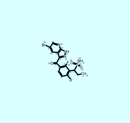 CCC(c1c(F)ccc(C(=O)c2n[nH]c3ncc(Br)cc23)c1F)S(N)(=O)=O